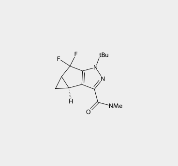 CNC(=O)c1nn(C(C)(C)C)c2c1[C@H]1CC1C2(F)F